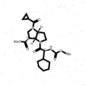 COC(=O)[C@H]1CN(C(=O)C2CC2)[C@@H]2CCN(C(=O)[C@@H](NC(=O)OC(C)(C)C)C3CCCCC3)[C@H]12